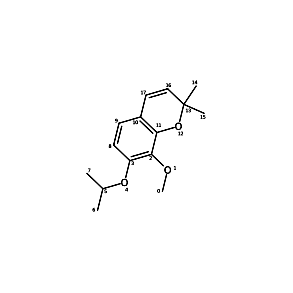 COc1c(OC(C)C)ccc2c1OC(C)(C)C=C2